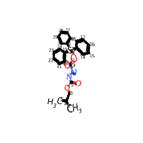 CC(C)COC(=O)N=NC(=O)O[Si](c1ccccc1)(c1ccccc1)c1ccccc1